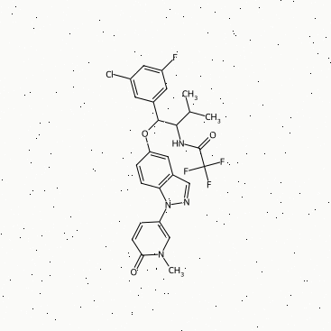 CC(C)C(NC(=O)C(F)(F)F)C(Oc1ccc2c(cnn2-c2ccc(=O)n(C)c2)c1)c1cc(F)cc(Cl)c1